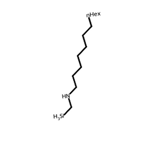 CCCCCCCCCCCCCNC[SiH3]